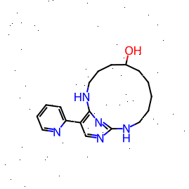 OC1CCCCCNc2ncc(-c3ccccn3)c(n2)NCCC1